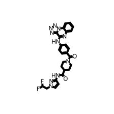 O=C(Nc1ccn(CC(F)F)n1)C1CCN(C(=O)c2ccc(Nc3nc4ccccc4n4nnnc34)cc2)CC1